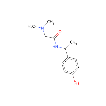 CC(NC(=O)CN(C)C)c1ccc(O)cc1